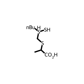 CCCC[SH](S)CSC(C)C(=O)O